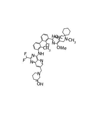 COc1nc(-c2cccc(-c3cccc(Nc4nc(C(F)F)nc5cc(CN6CCC[C@H](O)C6)cnc45)c3C)c2Cl)cnc1CN(C)C1(C(=O)O)CCCCC1